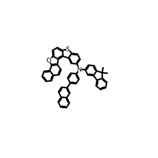 CC1(C)c2ccccc2-c2cc(N(c3ccc(-c4ccc5ccccc5c4)cc3)c3ccc4sc5ccc6oc7c8ccccc8ccc7c6c5c4c3)ccc21